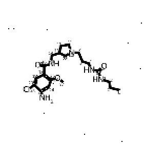 CCCNC(=O)NCCCN1CCC(CNC(=O)c2cc(Cl)c(N)cc2OC)C1